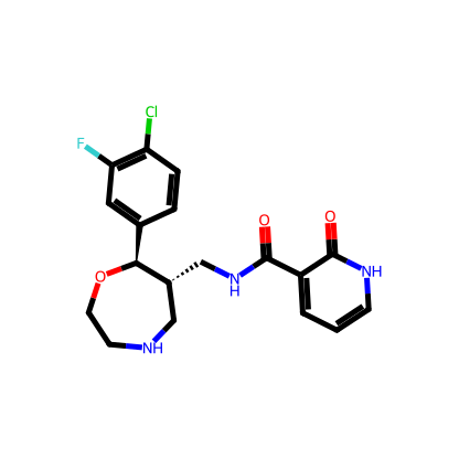 O=C(NC[C@@H]1CNCCO[C@H]1c1ccc(Cl)c(F)c1)c1ccc[nH]c1=O